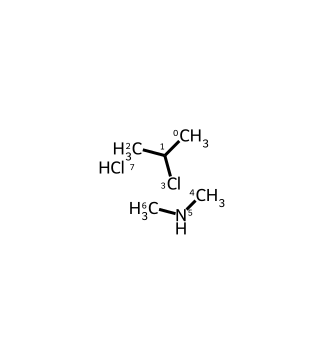 CC(C)Cl.CNC.Cl